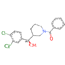 O=C(c1ccccc1)N1CCCC([C@@H](O)c2ccc(Cl)c(Cl)c2)C1